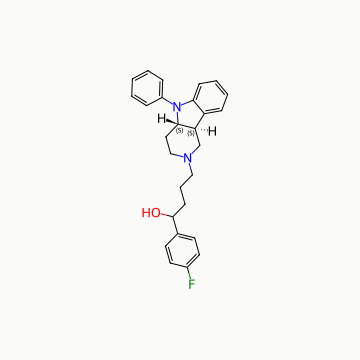 OC(CCCN1CC[C@H]2[C@H](C1)c1ccccc1N2c1ccccc1)c1ccc(F)cc1